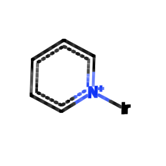 [Ir][n+]1ccccc1